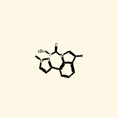 Cn1ccc(-c2cccc3c(I)cn(C(=O)OC(C)(C)C)c23)n1